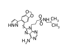 CC(C)CNS(=O)(=O)CCCn1c(Sc2cc3c(cc2-c2cc[nH]n2)OCO3)nc2c(N)ncnc21